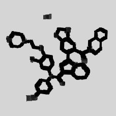 Cl.O=C(c1cc2c(cc1-c1cc(C(=O)N(c3ccc(O)cc3)c3ccc(OCCN4CCOCC4)c(F)c3)c3ccccn13)OCO2)N1CCc2ccccc2C1